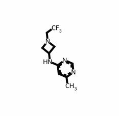 Cc1cc(NC2CN(CC(F)(F)F)C2)ncn1